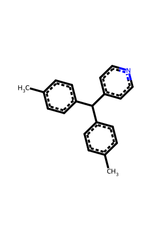 Cc1ccc(C(c2ccncc2)c2ccc(C)cc2)cc1